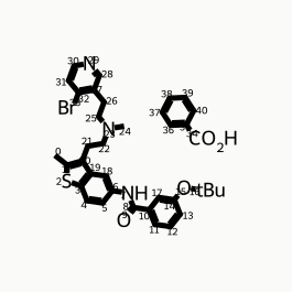 Cc1sc2ccc(NC(=O)c3cccc(OC(C)(C)C)c3)cc2c1CCN(C)CCc1cnccc1Br.O=C(O)c1ccccc1